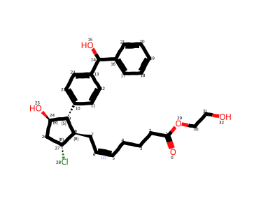 O=C(CCC/C=C\C[C@@H]1[C@@H](c2ccc(C(O)c3ccccc3)cc2)[C@H](O)C[C@H]1Cl)OCCO